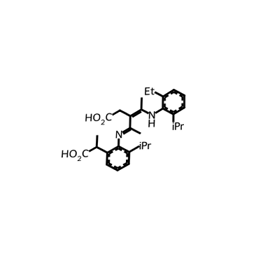 CCc1cccc(C(C)C)c1N/C(C)=C(CC(=O)O)\C(C)=N\c1c(C(C)C)cccc1C(C)C(=O)O